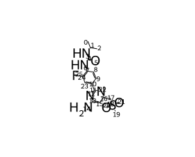 CC(C)NC(=O)Nc1ccc(-c2nc(N)cc(CS(C)(=O)=O)n2)cc1F